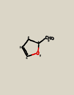 O=CC1CC=CO1